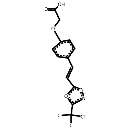 O=C(O)COc1ccc(/C=C/c2nnc(C(Cl)(Cl)Cl)o2)cc1